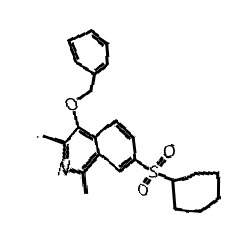 [CH2]c1nc(C)c2cc(S(=O)(=O)C3CCCCC3)ccc2c1OCc1ccccc1